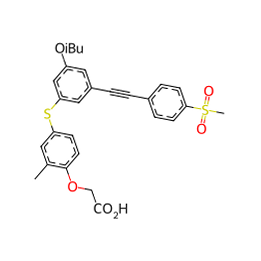 Cc1cc(Sc2cc(C#Cc3ccc(S(C)(=O)=O)cc3)cc(OCC(C)C)c2)ccc1OCC(=O)O